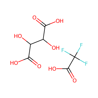 O=C(O)C(F)(F)F.O=C(O)C(O)C(O)C(=O)O